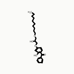 CCCCCCCCCCOCC(O)COc1ccc(C(=O)c2ccccc2)c(O)c1